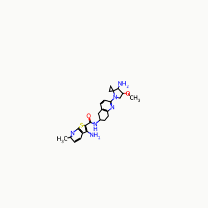 COC1CN(c2ccc3c(n2)CCC(NC(=O)c2sc4nc(C)ccc4c2N)C3)C2(CC2)C1N